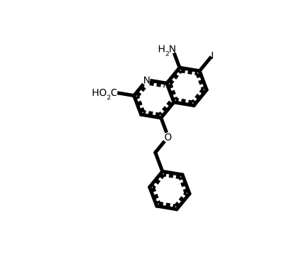 Nc1c(I)ccc2c(OCc3ccccc3)cc(C(=O)O)nc12